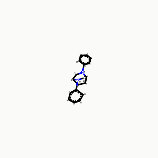 c1ccc(N2CC3CCC2CN3c2ccccc2)cc1